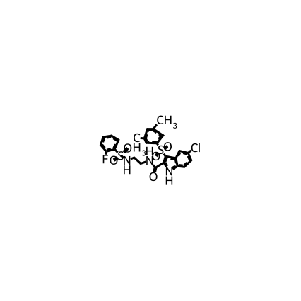 Cc1cc(C)cc(S(=O)(=O)c2c(C(=O)NCCNS(=O)(=O)c3ccccc3F)[nH]c3ccc(Cl)cc23)c1